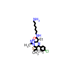 CC[C@@H](C(=O)NCCCCCCCN)[C@@H]1N=C(c2ccc(Cl)cc2)c2c(sc(C)c2C)-n2c(C)nnc21